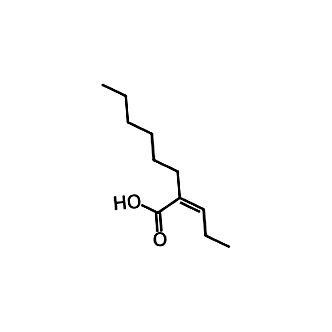 CCC=C(CCCCCC)C(=O)O